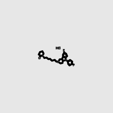 Cl.O=C1CCCCN1CCCCCCCN1CCC2C(C1)c1cc(F)ccc1N2c1ccc(F)cc1